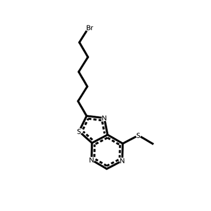 CSc1ncnc2sc(CCCCCBr)nc12